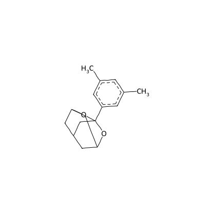 Cc1cc(C)cc(C23CC4CC(CC(C4)O2)O3)c1